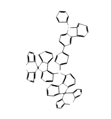 c1ccc(-n2c3ccccc3c3cc(-c4ccc(N(c5cccc6c5-c5ccccc5C65c6ccccc6Sc6ccccc65)c5cccc6c5-c5ccccc5C65c6ccccc6Sc6ccccc65)cc4)ccc32)cc1